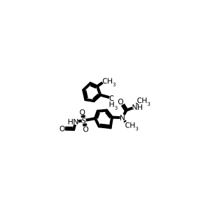 CNC(=O)N(C)c1ccc(S(=O)(=O)NC=O)cc1.Cc1ccccc1C